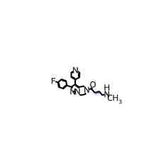 CNC/C=C/C(=O)N1CCn2nc(-c3ccc(F)cc3)c(-c3ccncc3)c2C1